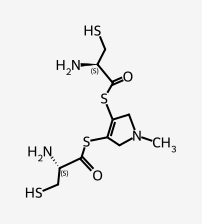 CN1CC(SC(=O)[C@@H](N)CS)=C(SC(=O)[C@@H](N)CS)C1